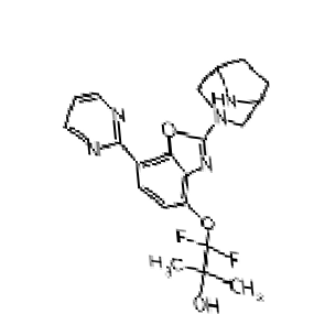 CC(C)(O)C(F)(F)Oc1ccc(-c2ncccn2)c2oc(N3CC4CCC(C3)N4)nc12